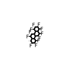 Fc1[c]c2c(F)c(F)c3c4c(F)c(F)c(F)c(F)c4c(F)c(F)c3c2c(F)c1F